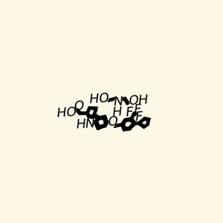 O=C(O)CC1CCc2c1[nH]c1ccc(OCc3ccc(C4CCCC4)c(C(F)(F)F)c3)cc21.OCCNCCO